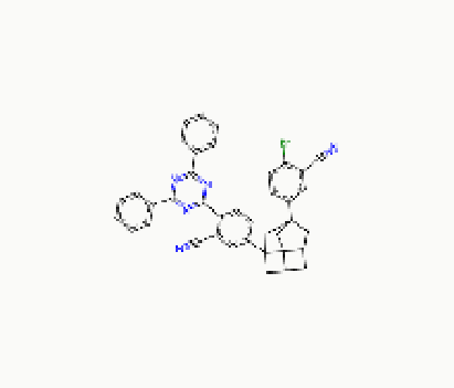 N#Cc1cc(C23CC4CC5CC(c6ccc(-c7nc(-c8ccccc8)nc(-c8ccccc8)n7)c(C#N)c6)(C2)C45C3)ccc1Br